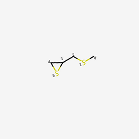 [CH2]SCC1CS1